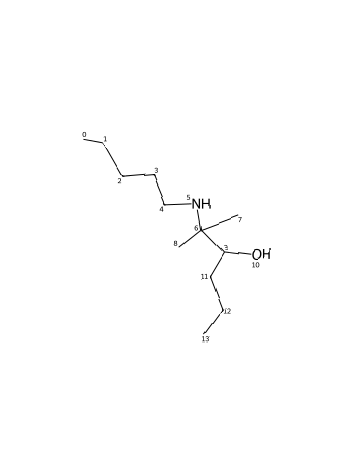 CCCCCNC(C)(C)C(O)CCC